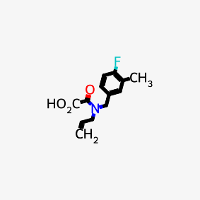 C=CCN(Cc1ccc(F)c(C)c1)C(=O)C(=O)O